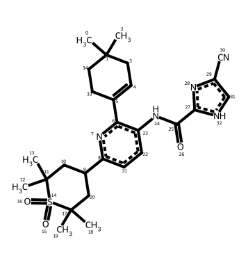 CC1(C)CC=C(c2nc(C3CC(C)(C)S(=O)(=O)C(C)(C)C3)ccc2NC(=O)c2nc(C#N)c[nH]2)CC1